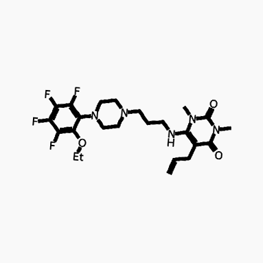 C=CCc1c(NCCCN2CCN(c3c(F)c(F)c(F)c(F)c3OCC)CC2)n(C)c(=O)n(C)c1=O